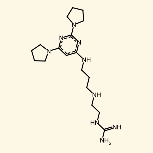 N=C(N)NCCNCCCNc1cc(N2CCCC2)nc(N2CCCC2)n1